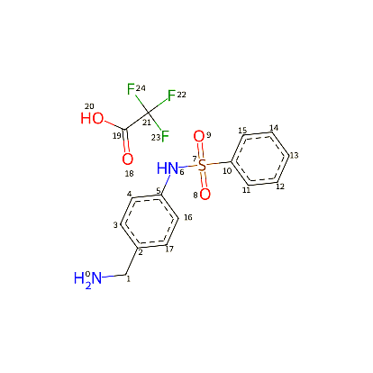 NCc1ccc(NS(=O)(=O)c2ccccc2)cc1.O=C(O)C(F)(F)F